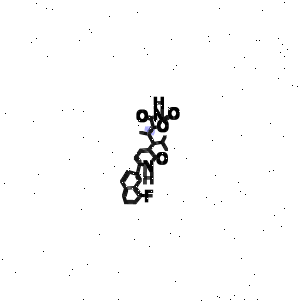 C/C(=C1/OC(=O)NC1=O)C(c1ccc(-c2ccc3cccc(F)c3c2)[nH]c1=O)C(C)C